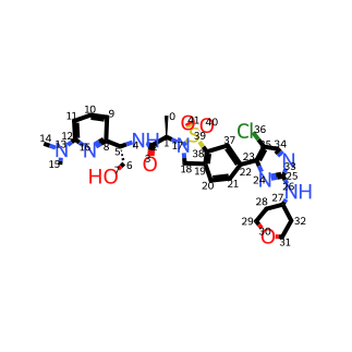 C[C@H](C(=O)N[C@H](CO)c1cccc(N(C)C)n1)N1Cc2ccc(-c3nc(NC4CCOCC4)ncc3Cl)cc2S1(=O)=O